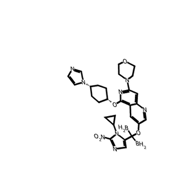 BC(B)(Oc1cnc2cc(N3CCOCC3)nc(O[C@H]3CC[C@@H](n4ccnc4)CC3)c2c1)c1cnc([N+](=O)[O-])n1C1CC1